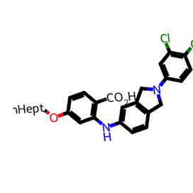 CCCCCCCOc1ccc(C(=O)O)c(Nc2ccc3c(c2)CN(c2ccc(Cl)c(Cl)c2)C3)c1